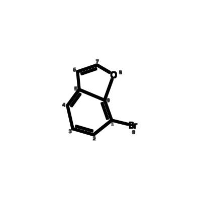 Brc1cccc2[c]coc12